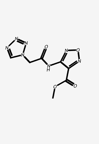 COC(=O)c1nonc1NC(=O)Cn1cnnn1